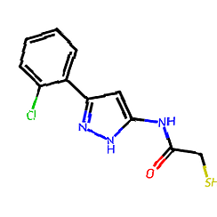 O=C(CS)Nc1cc(-c2ccccc2Cl)n[nH]1